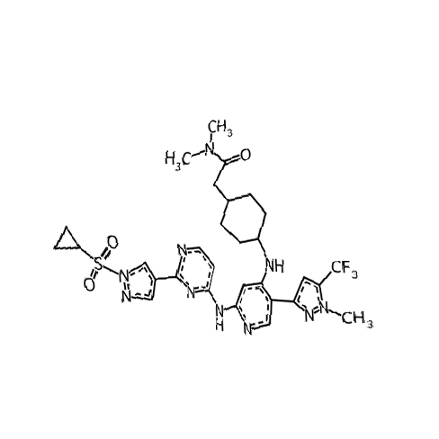 CN(C)C(=O)CC1CCC(Nc2cc(Nc3ccnc(-c4cnn(S(=O)(=O)C5CC5)c4)n3)ncc2-c2cc(C(F)(F)F)n(C)n2)CC1